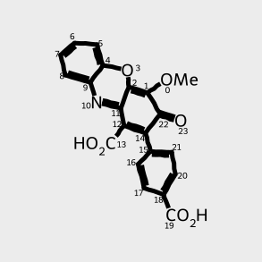 COc1c2oc3ccccc3nc-2c(C(=O)O)c(-c2ccc(C(=O)O)cc2)c1=O